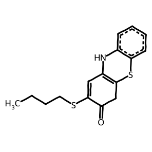 CCCCSC1=CC2=C(CC1=O)Sc1ccccc1N2